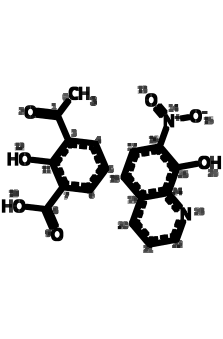 CC(=O)c1cccc(C(=O)O)c1O.O=[N+]([O-])c1ccc2cccnc2c1O